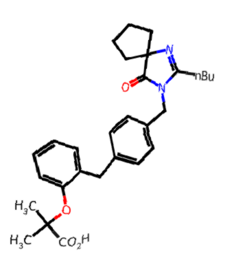 CCCCC1=NC2(CCCC2)C(=O)N1Cc1ccc(Cc2ccccc2OC(C)(C)C(=O)O)cc1